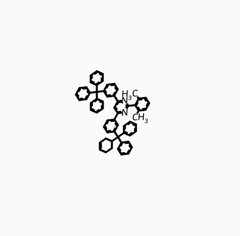 Cc1cccc(C)c1-c1nc(-c2cccc(C(c3ccccc3)(c3ccccc3)c3ccccc3)c2)cc(-c2cccc(C(c3ccccc3)(c3ccccc3)C3CC=CCC3)c2)n1